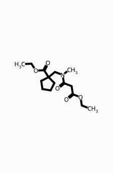 CCOC(=O)CC(=O)N(C)CC1(C(=O)OCC)CCCC1